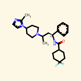 Cc1nccn1C1CCN(C(C)C[C@H](NC(=O)C2CCC(F)(F)CC2)c2ccccc2)CC1